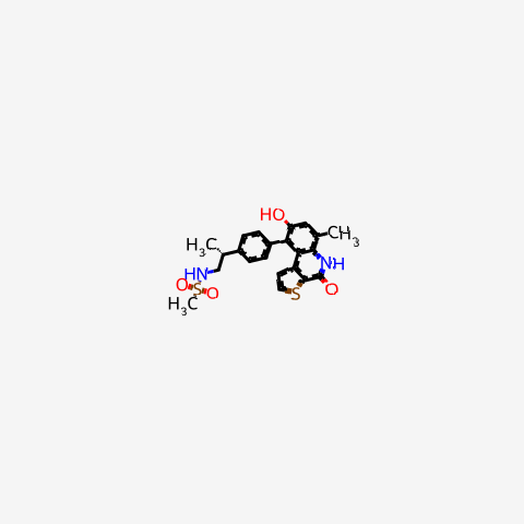 Cc1cc(O)c(-c2ccc([C@@H](C)CNS(C)(=O)=O)cc2)c2c1[nH]c(=O)c1sccc12